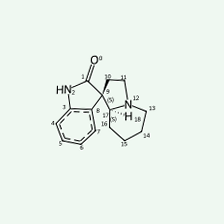 O=C1Nc2ccccc2[C@]12CCN1CCCC[C@H]12